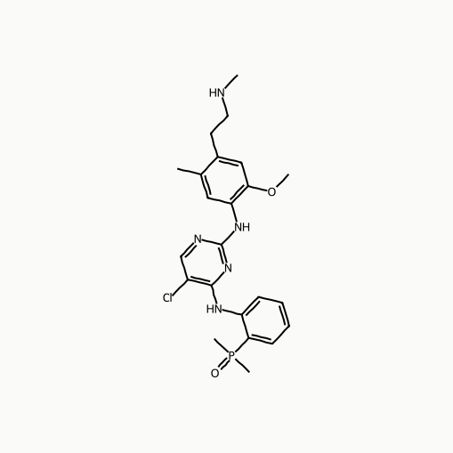 CNCCc1cc(OC)c(Nc2ncc(Cl)c(Nc3ccccc3P(C)(C)=O)n2)cc1C